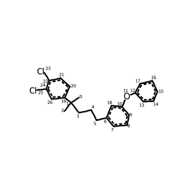 CC(C)(CCCc1cccc(Oc2ccccc2)c1)c1ccc(Cl)c(Cl)c1